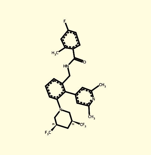 Cc1cc(-c2c(CNC(=O)c3ccc(F)cc3C)cccc2N2C[C@H](C(F)(F)F)C[C@H](C(F)(F)F)C2)cc(C)n1